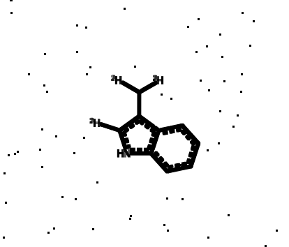 [2H]c1[nH]c2ccccc2c1C([2H])[2H]